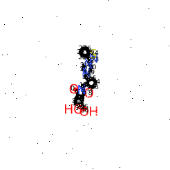 O=C1C2C3CC(C2C(=O)N1CC1CCCCC1CN1CCN(c2nsc4ccccc24)CC1)C(O)(CO)C3